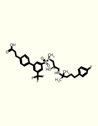 CN(C[C@H](O)CNC(C)(C)CCCc1ccc(F)cc1)S(=O)(=O)c1cc(-c2ccc(CCC(=O)O)cc2)cc(C(F)(F)F)c1